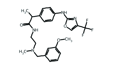 COc1cccc(CN(C)CCNC(=O)C(C)c2ccc(Nc3nc(C(F)(F)F)co3)cc2)c1